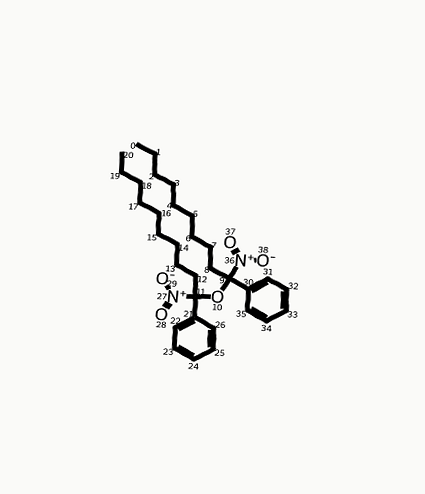 CCCCCCCCCC(OC(CCCCCCCCC)(c1ccccc1)[N+](=O)[O-])(c1ccccc1)[N+](=O)[O-]